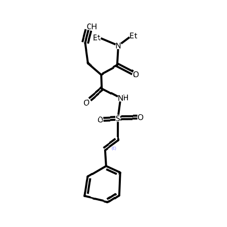 C#CCC(C(=O)NS(=O)(=O)/C=C/c1ccccc1)C(=O)N(CC)CC